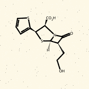 O=C(O)[C@@H]1[C@H](c2cccs2)S[C@@H]2[C@H](CCO)C(=O)N21